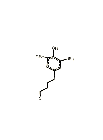 CC(C)(C)c1cc(CCCC[S])cc(C(C)(C)C)c1O